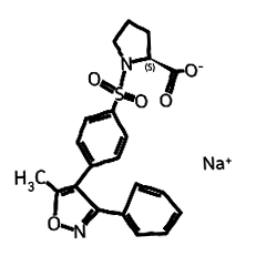 Cc1onc(-c2ccccc2)c1-c1ccc(S(=O)(=O)N2CCC[C@H]2C(=O)[O-])cc1.[Na+]